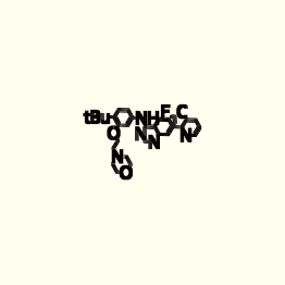 CC(C)(C)c1ccc(Nc2ncnc3cc(-c4ncccc4C(F)(F)F)ccc23)cc1OCCN1CCOCC1